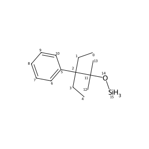 CCC(CC)(c1ccccc1)C(C)(C)O[SiH3]